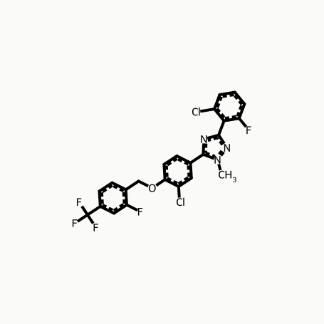 Cn1nc(-c2c(F)cccc2Cl)nc1-c1ccc(OCc2ccc(C(F)(F)F)cc2F)c(Cl)c1